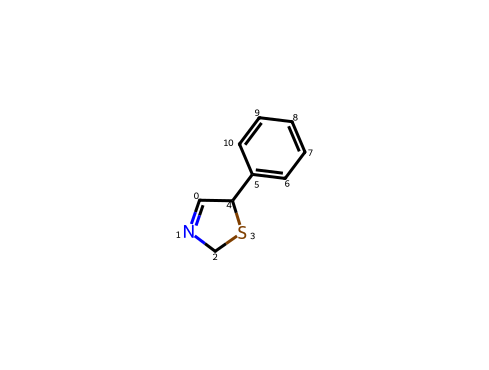 C1=NCSC1c1ccccc1